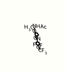 CC(=O)N[C@@H](C)COc1ccc2nc(-c3cc(F)c(OCC(F)(F)F)c(F)c3)oc2c1